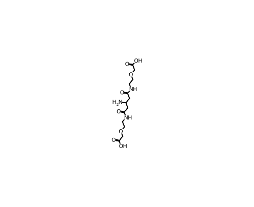 NC(CC(=O)NCCOCC(=O)O)CC(=O)NCCOCC(=O)O